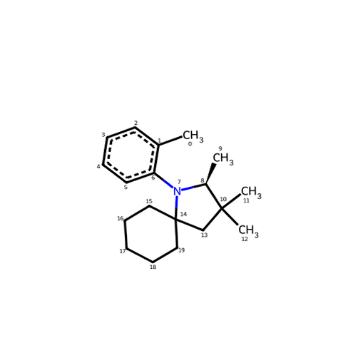 Cc1ccccc1N1[C@@H](C)C(C)(C)CC12CCCCC2